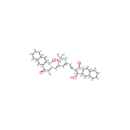 C/C(=C\C=C1C=C(/C=C/C2=C(O)c3cc4ccccc4cc3C2=O)CC(C)(C)C\1)C(=O)c1cc2ccccc2cc1CO